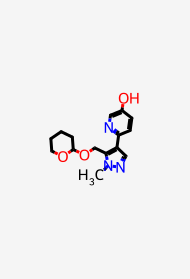 Cn1ncc(-c2ccc(O)cn2)c1COC1CCCCO1